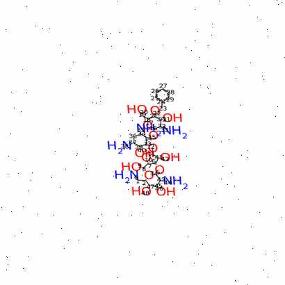 NCC1OC(OC2C(CO)O[C@@H](OC3C(OC4OC(CO)C(OCc5ccccc5)C(O)C4N)C(N)C[C@@H](N)C3O)C2O)C(N)C(O)C1O